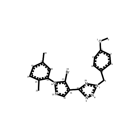 COc1ccc(Cn2nnc(-c3cnn(-c4cc(C)ccc4C)c3Br)n2)cc1